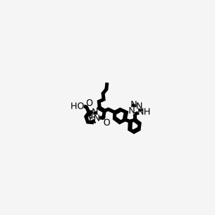 CCCCCc1c(Cc2ccc(-c3ccccc3-c3nnn[nH]3)cc2)c(=O)n2n1C1(C(=O)O)CCC2CC1